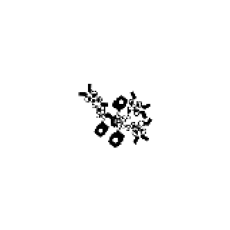 CCO[Si](OCC)(OCC)SSS[SH](CC(C[SH](SSS[Si](OCC)(OCC)OCC)C1CC2CCC1C2)[SH](SSS[Si](OCC)(OCC)OCC)C1CC2CCC1C2)C1CC2CCC1C2